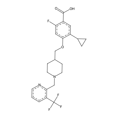 O=C(O)c1cc(C2CC2)c(OCC2CCN(Cc3ncccc3C(F)(F)F)CC2)cc1F